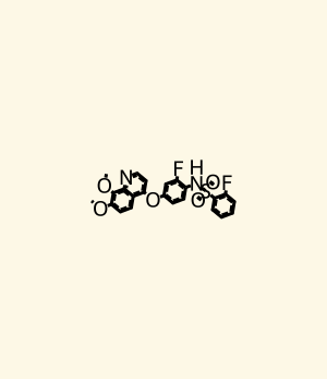 COc1ccc2c(Oc3ccc(NS(=O)(=O)c4ccccc4F)c(F)c3)ccnc2c1OC